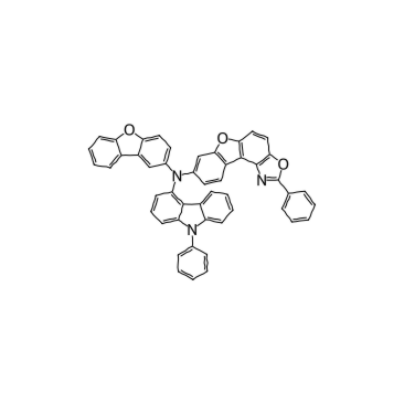 c1ccc(-c2nc3c(ccc4oc5cc(N(c6ccc7oc8ccccc8c7c6)c6cccc7c6c6ccccc6n7-c6ccccc6)ccc5c43)o2)cc1